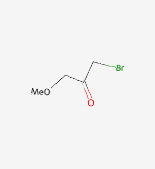 COCC(=O)CBr